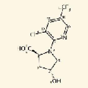 O=C(O)[C@@H]1C[C@@H](O)CN1c1ncc(C(F)(F)F)cc1Cl